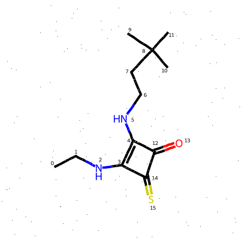 CCNc1c(NCCC(C)(C)C)c(=O)c1=S